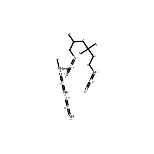 CC(CN=C=O)CC(C)(C)CCN=C=O.CCCCCCCC.N=C=O.N=C=O